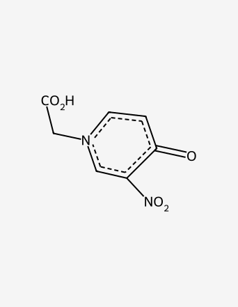 O=C(O)Cn1ccc(=O)c([N+](=O)[O-])c1